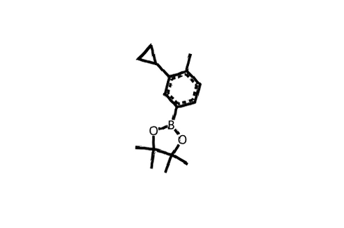 Cc1ccc(B2OC(C)(C)C(C)(C)O2)cc1C1CC1